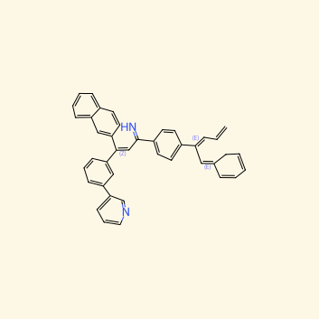 C=C/C=C(\C=C1\C=CC=CC1)c1ccc(C(=N)/C=C(/c2cccc(-c3cccnc3)c2)c2ccc3ccccc3c2)cc1